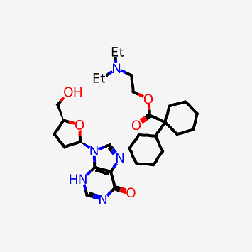 CCN(CC)CCOC(=O)C1(C2CCCCC2)CCCCC1.O=c1nc[nH]c2c1ncn2[C@H]1CC[C@@H](CO)O1